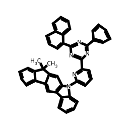 CC1(C)c2ccccc2-c2cc3c4ccccc4n(-c4cccc(-c5nc(-c6ccccc6)nc(-c6cccc7ccccc67)n5)n4)c3cc21